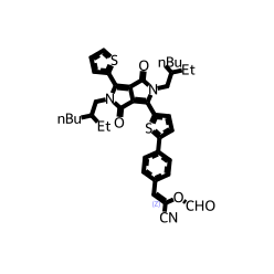 CCCCC(CC)CN1C(=O)C2=C(c3ccc(-c4ccc(/C=C(/C#N)OC=O)cc4)s3)N(CC(CC)CCCC)C(=O)C2=C1c1cccs1